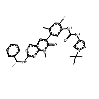 Cc1cc(F)c(NC(=O)Nc2cnn(C(C)(C)C)c2)cc1-c1cc2cnc(N[C@H](C)c3ccccc3)nc2n(C)c1=O